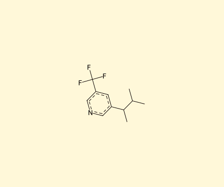 CC(C)C(C)c1cncc(C(F)(F)F)c1